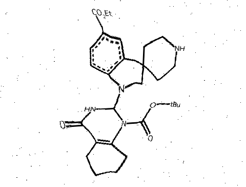 CCOC(=O)c1ccc2c(c1)C1(CCNCC1)CN2C1NC(=O)C2=C(CCCC2)N1C(=O)OC(C)(C)C